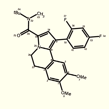 COc1cc2c(cc1OC)-c1c(-c3ccc(F)cc3F)cc(C(=O)N(C)C(C)(C)C)n1CC2